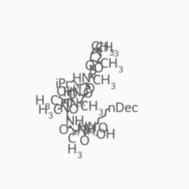 CCCCCCCCCCCCCC(=O)N[C@H](CO)C(=O)N[C@H](C)C(=O)NCC(=O)N(C)[C@H](C(=O)N[C@@H](C)C(=O)N[C@@H](CC(C)C)C(=O)N[C@@H](C)B1OC2C3CCC(C3(C)C)C2(C)O1)C(C)O